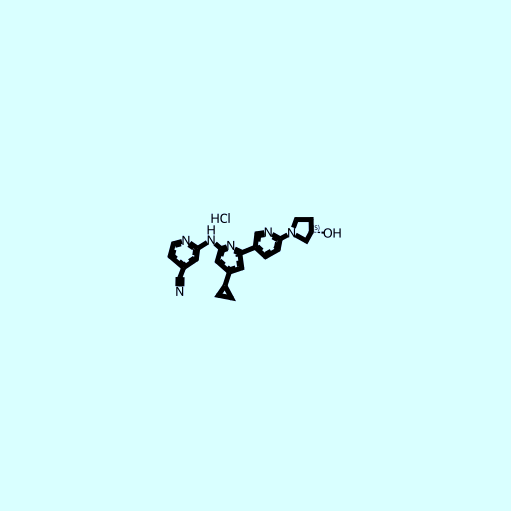 Cl.N#Cc1ccnc(Nc2cc(C3CC3)cc(-c3ccc(N4CC[C@H](O)C4)nc3)n2)c1